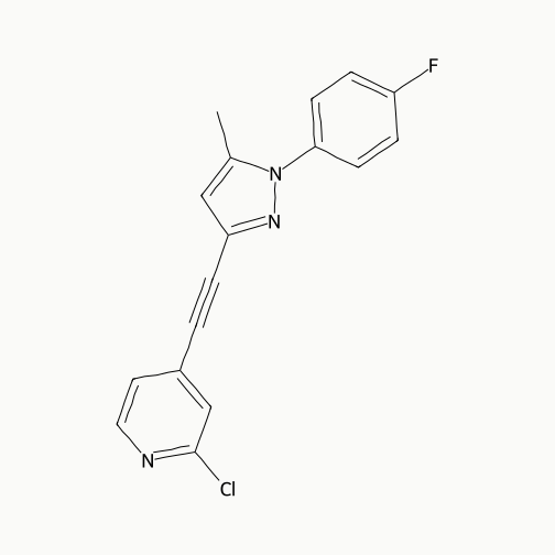 Cc1cc(C#Cc2ccnc(Cl)c2)nn1-c1ccc(F)cc1